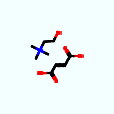 C[N+](C)(C)CCO.O=C(O)/C=C/C(=O)O